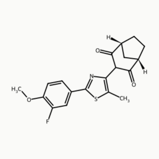 COc1ccc(-c2nc(C3C(=O)[C@@H]4CC[C@@H](C4)C3=O)c(C)s2)cc1F